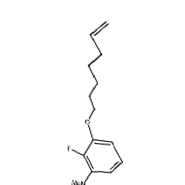 C=CCCCCCOc1cccc(NC)c1F